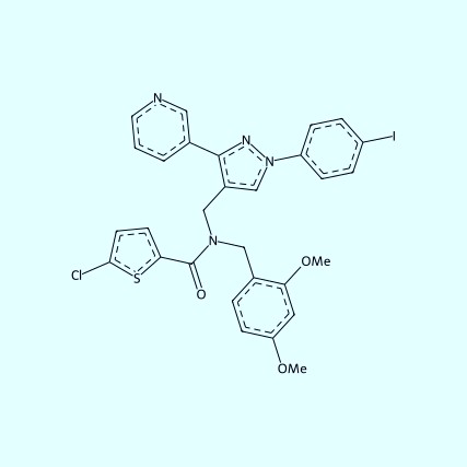 COc1ccc(CN(Cc2cn(-c3ccc(I)cc3)nc2-c2cccnc2)C(=O)c2ccc(Cl)s2)c(OC)c1